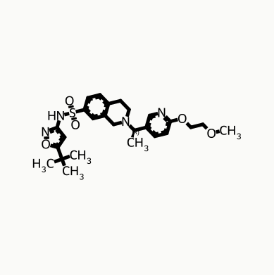 COCCOc1ccc([C@@H](C)N2CCc3ccc(S(=O)(=O)Nc4cc(C(C)(C)C)on4)cc3C2)cn1